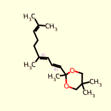 CC(C)=CCC/C(C)=C/C=C/C1(C)OCC(C)(C)CO1